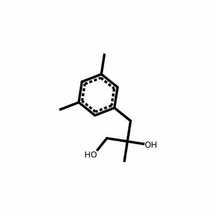 Cc1cc(C)cc(CC(C)(O)CO)c1